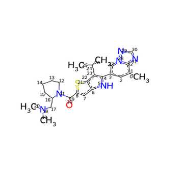 Cc1cc(-c2[nH]c3cc(C(=O)N4CCCCC4CN(C)C)sc3c2C(C)C)cn2ncnc12